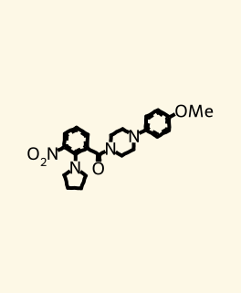 COc1ccc(N2CCN(C(=O)c3cccc([N+](=O)[O-])c3N3CCCC3)CC2)cc1